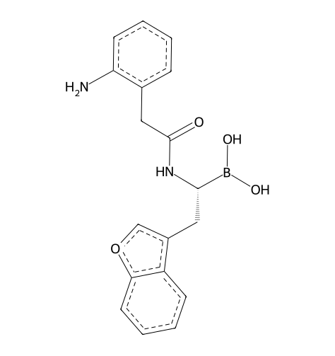 Nc1ccccc1CC(=O)N[C@@H](Cc1coc2ccccc12)B(O)O